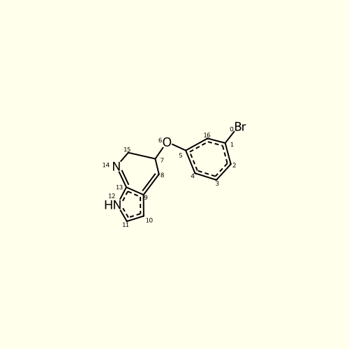 Brc1cccc(OC2C=c3cc[nH]c3=NC2)c1